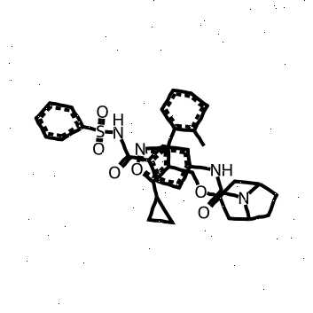 Cc1ccccc1-c1noc(C2CC2)c1COC1CC2CCC(C1)N2C(=O)Nc1ccc(C(=O)NS(=O)(=O)c2ccccc2)cc1